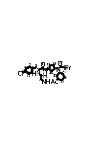 CC(=O)NCCN[C@H](Cc1ccc(Cl)cc1)C(=O)NN1CC[C@H](N(C(=O)C(C)C)C2CCCCC2)C1